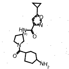 NC1CCC(C(=O)N2CC[C@@H](NC(=O)c3cc(C4CC4)on3)C2)CC1